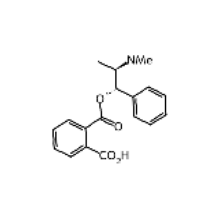 CN[C@H](C)[C@@H](OC(=O)c1ccccc1C(=O)O)c1ccccc1